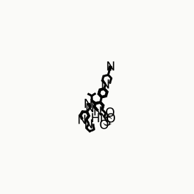 CC(C)c1nn(-c2ccnc(N3CCCC3)c2)c2nc(C(=O)NS(C)(=O)=O)cc(-c3ccc(N4CCC(C#N)CC4)cc3)c12